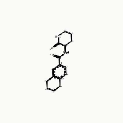 O=C(NC1CCCNC1=O)c1ccc2c(c1)CCCC2